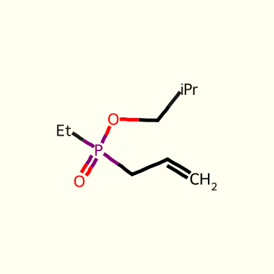 C=CCP(=O)(CC)OCC(C)C